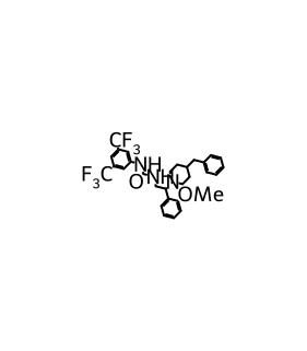 COc1ccccc1C(CNC(=O)Nc1cc(C(F)(F)F)cc(C(F)(F)F)c1)N1CCC(Cc2ccccc2)CC1